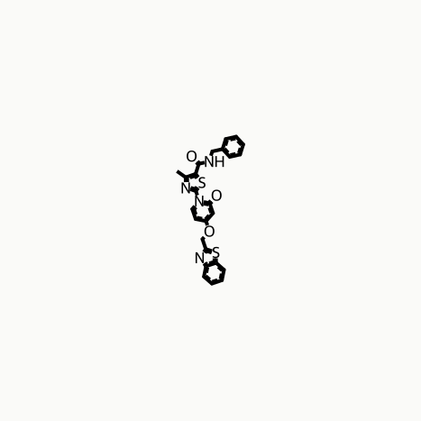 Cc1nc(-n2ccc(OCc3nc4ccccc4s3)cc2=O)sc1C(=O)NCc1ccccc1